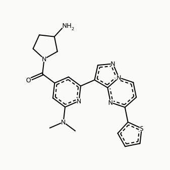 CN(C)c1cc(C(=O)N2CCC(N)C2)cc(-c2cnn3ccc(-c4cccs4)nc23)n1